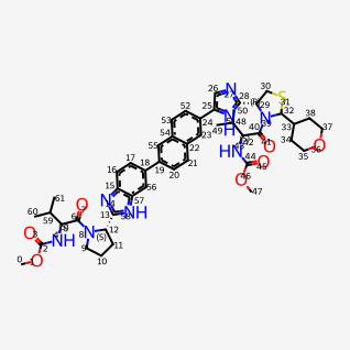 COC(=O)N[C@H](C(=O)N1CCC[C@H]1c1nc2ccc(-c3ccc4cc(-c5cnc([C@@H]6CSC(C7CCOCC7)N6C(=O)[C@@H](NC(=O)OC)C(C)C)[nH]5)ccc4c3)cc2[nH]1)C(C)C